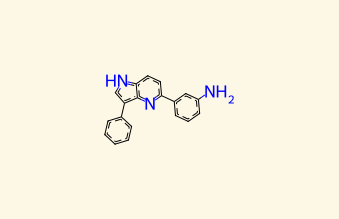 Nc1cccc(-c2ccc3[nH]cc(-c4ccccc4)c3n2)c1